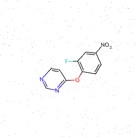 O=[N+]([O-])c1ccc(Oc2c[c]ncn2)c(F)c1